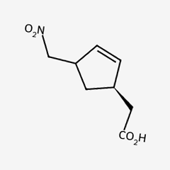 O=C(O)C[C@@H]1C=CC(C[N+](=O)[O-])C1